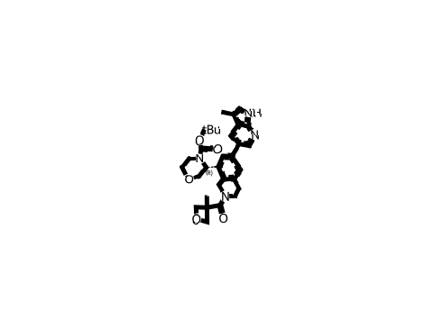 Cc1c[nH]c2ncc(-c3cc4c(c([C@@H]5COCCN5C(=O)OC(C)(C)C)c3)CN(C(=O)C3(C)COC3)CC4)cc12